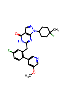 COc1cncc(-c2ccc(F)cc2Cc2nc3c(cnn3C3CCC(C)(F)CC3)c(=O)[nH]2)c1